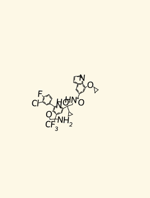 NC1(C(F)(F)F)COc2c1cc(C(O)(CNC(=O)c1cc(OC3CC3)c3ncccc3c1)C1CC1)nc2-c1ccc(F)c(Cl)c1